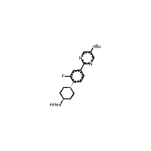 CCCCCC[C@H]1CC[C@H](c2ccc(-c3ncc(CCCC)cn3)cc2F)CC1